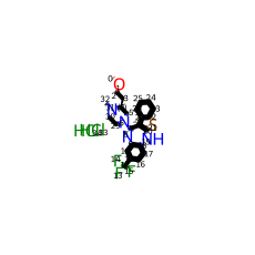 COCC[C@H]1CN(C2=Nc3cc(C(F)(F)F)ccc3Nc3sc4ccccc4c32)CCN1C.Cl.Cl